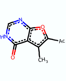 CC(=O)c1oc2nc[nH]c(=O)c2c1C